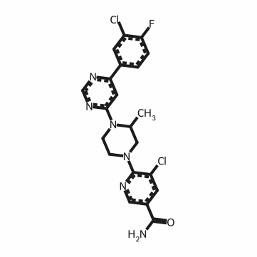 CC1CN(c2ncc(C(N)=O)cc2Cl)CCN1c1cc(-c2ccc(F)c(Cl)c2)ncn1